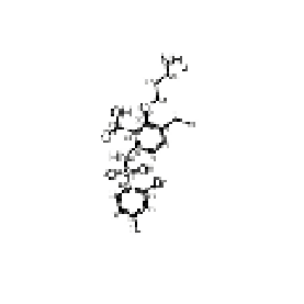 CCc1ccc(NS(=O)(=O)c2ccc(F)cc2Br)c(C(=O)O)c1OCCCN